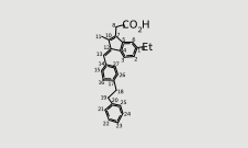 CCc1ccc2c(c1)C(CC(=O)O)=C(C)/C2=C/c1ccc(CCc2ccccc2)cc1